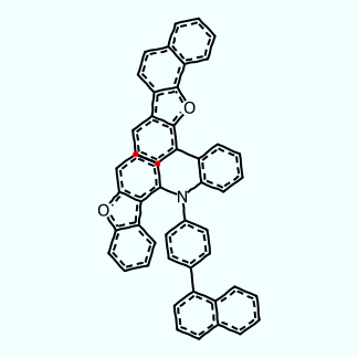 c1ccc(N(c2ccc(-c3cccc4ccccc34)cc2)c2cccc3oc4ccccc4c23)c(-c2cccc3c2oc2c4ccccc4ccc32)c1